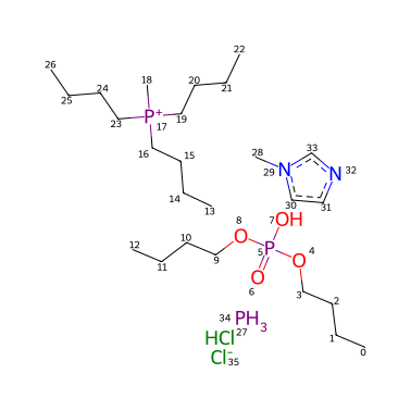 CCCCOP(=O)(O)OCCCC.CCCC[P+](C)(CCCC)CCCC.Cl.Cn1ccnc1.P.[Cl-]